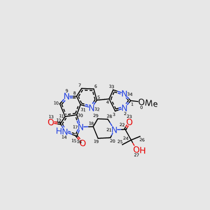 COc1ncc(-c2ccc3ncc4c(=O)[nH]c(=O)n(C5CCN(C(=O)C(C)(C)O)CC5)c4c3n2)cn1